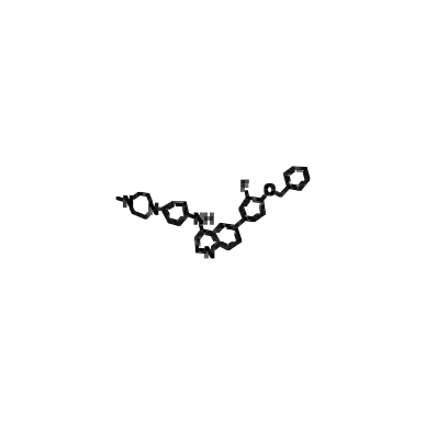 CN1CCN(c2ccc(Nc3ccnc4ccc(-c5ccc(OCc6ccccc6)c(F)c5)cc34)cc2)CC1